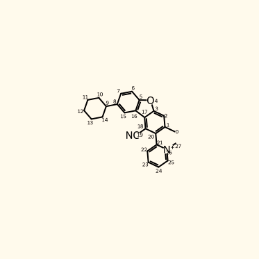 Cc1cc2oc3ccc(C4CCCCC4)cc3c2c(C#N)c1-c1cccc[n+]1C